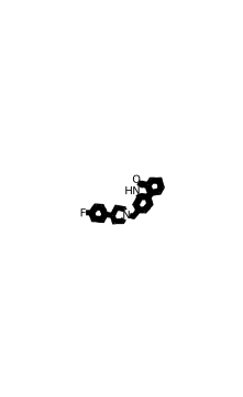 O=c1[nH]c2cc(CN3CCC(c4ccc(F)cc4)CC3)ccc2c2ccccc12